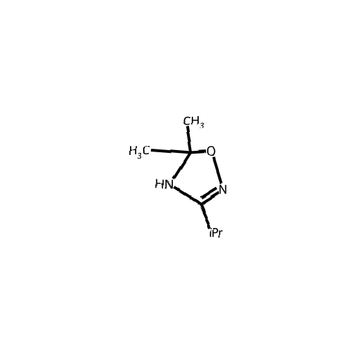 CC(C)C1=NOC(C)(C)N1